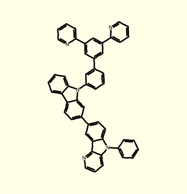 c1ccc(-n2c3ccc(-c4ccc5c6ccccc6n(-c6cccc(-c7cc(-c8ccccn8)cc(-c8ccccn8)c7)c6)c5c4)cc3c3ncccc32)cc1